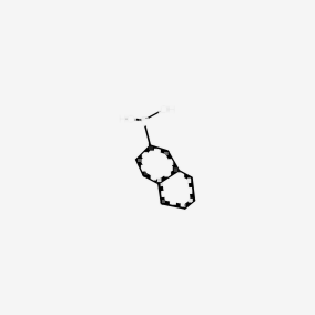 OP(O)c1ccc2ccccc2c1